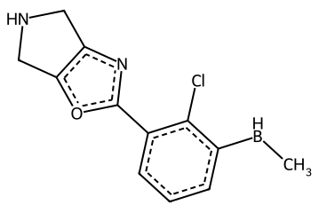 CBc1cccc(-c2nc3c(o2)CNC3)c1Cl